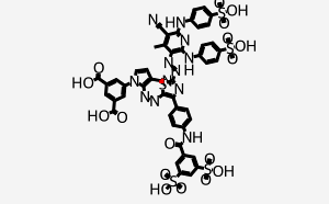 Cc1c(C#N)c(Nc2ccc(S(=O)(=O)O)cc2)nc(Nc2ccc(S(=O)(=O)O)cc2)c1N=Nc1nc(-c2ccc(NC(=O)c3cc(S(=O)(=O)O)cc(S(=O)(=O)O)c3)cc2)c(/N=N\c2c(C#N)ccn2-c2cc(C(=O)O)cc(C(=O)O)c2)s1